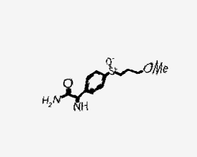 COCCC[S+]([O-])c1ccc(C(=N)C(N)=O)cc1